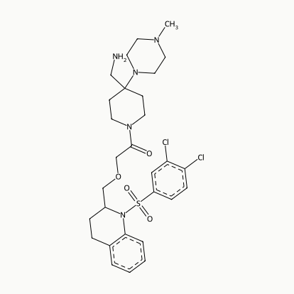 CN1CCN(C2(CN)CCN(C(=O)COCC3CCc4ccccc4N3S(=O)(=O)c3ccc(Cl)c(Cl)c3)CC2)CC1